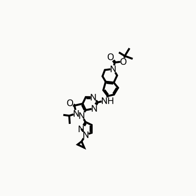 CC(C)n1c(=O)c2cnc(Nc3ccc4c(c3)CCN(C(=O)OC(C)(C)C)C4)nc2n1-c1ccn(C2CC2)n1